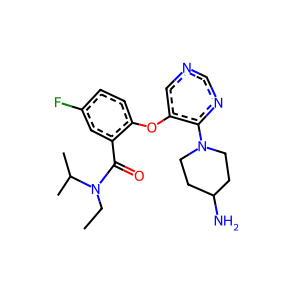 CCN(C(=O)c1cc(F)ccc1Oc1cncnc1N1CCC(N)CC1)C(C)C